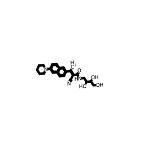 C/C(=C(/C#N)C(=O)NCC(O)C(O)CO)c1ccc2cc(N3CCCCC3)ccc2c1